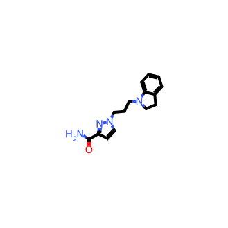 NC(=O)c1[c]cn(CCCN2CCc3ccccc32)n1